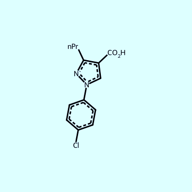 CCCc1nn(-c2ccc(Cl)cc2)cc1C(=O)O